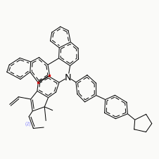 C=CC1=C(/C=C\C)C(C)(C)c2cc(N(c3ccc(-c4ccc(C5CCCC5)cc4)cc3)c3ccc4ccccc4c3-c3ccc4ccccc4c3)ccc21